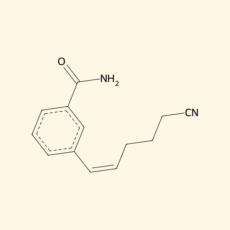 N#CCCC/C=C\c1cccc(C(N)=O)c1